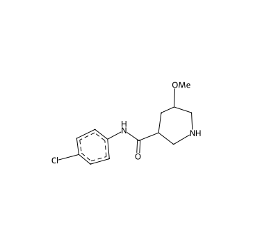 COC1CNCC(C(=O)Nc2ccc(Cl)cc2)C1